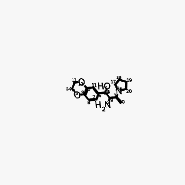 C=C([C@@H](N)[C@H](O)c1ccc2c(c1)OCCO2)N1CCCC1